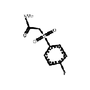 CNC(=O)CS(=O)(=O)c1ccc(F)cc1